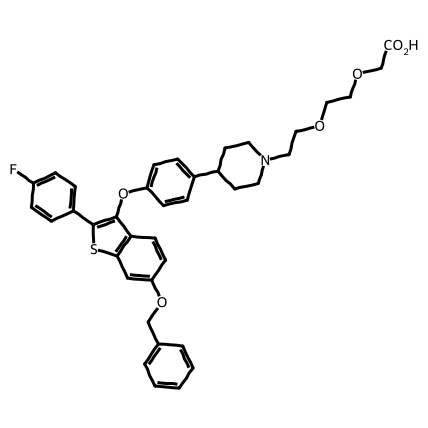 O=C(O)COCCOCCN1CCC(c2ccc(Oc3c(-c4ccc(F)cc4)sc4cc(OCc5ccccc5)ccc34)cc2)CC1